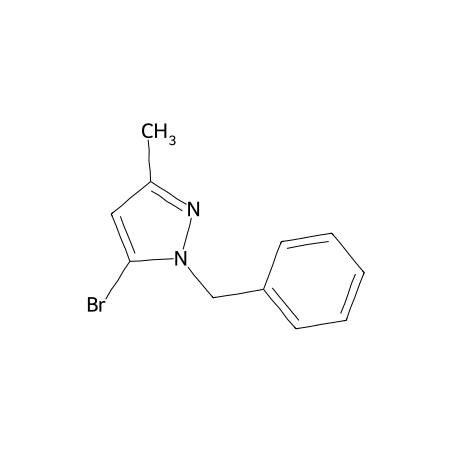 Cc1cc(Br)n(Cc2ccccc2)n1